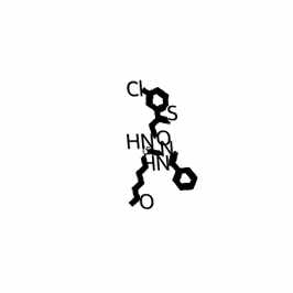 CC(=O)CCCCC[C@H](NC(=O)Cc1csc2ccc(Cl)cc12)c1ncc(-c2ccccc2)[nH]1